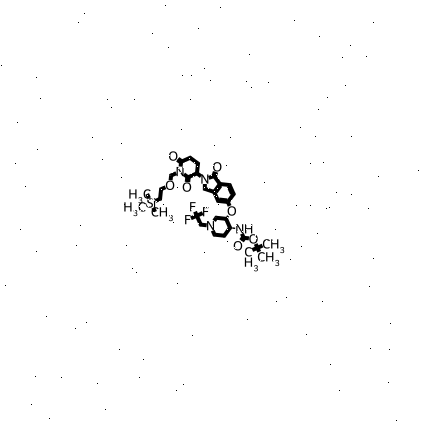 CC(C)(C)OC(=O)N[C@@H]1CCN(CC(F)(F)F)C[C@H]1Oc1ccc2c(c1)CN(C1CCC(=O)N(COCC[Si](C)(C)C)C1=O)C2=O